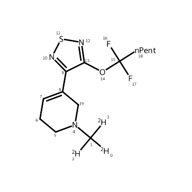 [2H]C([2H])([2H])N1CCC=C(c2nsnc2OC(F)(F)CCCCC)C1